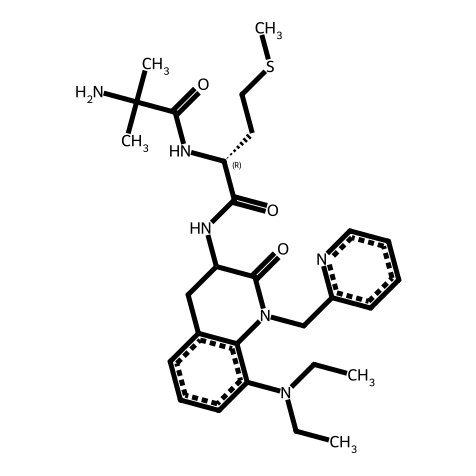 CCN(CC)c1cccc2c1N(Cc1ccccn1)C(=O)C(NC(=O)[C@@H](CCSC)NC(=O)C(C)(C)N)C2